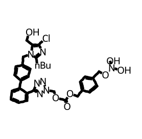 CCCCc1nc(Cl)c(CO)n1Cc1ccc(-c2ccccc2-c2nnn(COC(=O)OCc3ccc(CON(O)O)cc3)n2)cc1